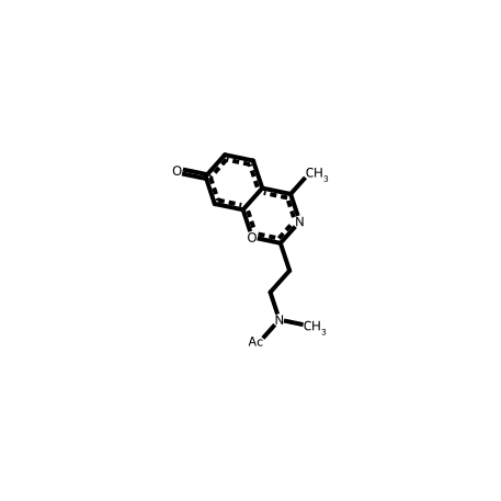 CC(=O)N(C)CCc1nc(C)c2ccc(=O)cc-2o1